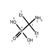 CCC(N)(CC)P(=O)(O)O